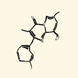 Cc1cc(Cl)c2nc(-c3cccc(F)c3)c(C)c(=O)n2c1